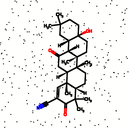 CC1(C)CC[C@]2(O)CC[C@]3(C)[C@H](C(=O)C[C@@H]4[C@@]5(C)C=C(C#N)C(=O)C(C)(C)[C@@H]5CC[C@]43C)[C@@H]2C1